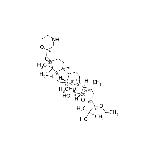 CCO[C@@H]([C@H]1C[C@@H](C)[C@H]2[C@H](O1)[C@H](O)[C@@]1(C)[C@@H]3CC[C@H]4C(C)(C)[C@@H](O[C@H]5CNCCO5)CCC45C[C@@]35CC[C@]21C)C(C)(C)O